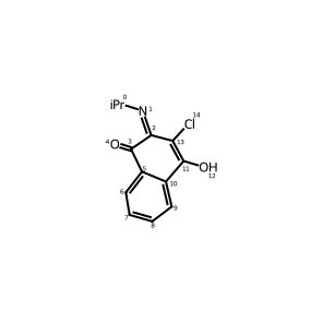 CC(C)/N=C1\C(=O)c2ccccc2C(O)=C1Cl